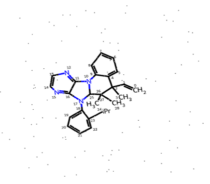 C=CC1(C)c2ccccc2N2c3nccnc3N(c3ccccc3C(C)C)C2C1(C)C